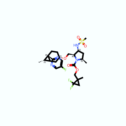 C[C@@H]1C[C@H](NS(C)(=O)=O)[C@H](CO[C@H]2CC[C@]3(c4ncc(F)cn4)C(C2)[C@@H]3C)N1C(=O)OCC1(C)CC1(F)F